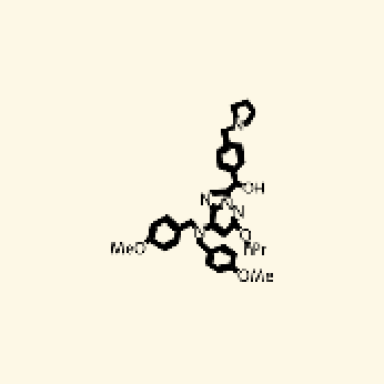 CCCOc1cc(N(Cc2ccc(OC)cc2)Cc2ccc(OC)cc2)c2ncc(C(O)c3ccc(CN4CCCC4)cc3)n2n1